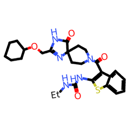 CCNC(=O)Nc1sc2ccccc2c1C(=O)N1CCC2(CC1)N=C(COC1CCCCC1)NC2=O